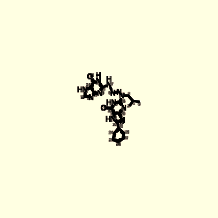 CC(C)CN(N=NNc1nc2nc[nH]c2c(=O)[nH]1)c1nc2nc(-c3ccccc3)[nH]c2c(=O)[nH]1